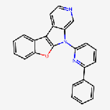 c1ccc(-c2cccc(-n3c4cnccc4c4c5ccccc5oc43)n2)cc1